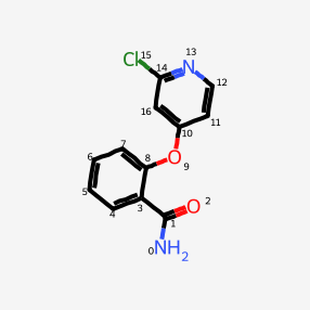 NC(=O)c1ccccc1Oc1ccnc(Cl)c1